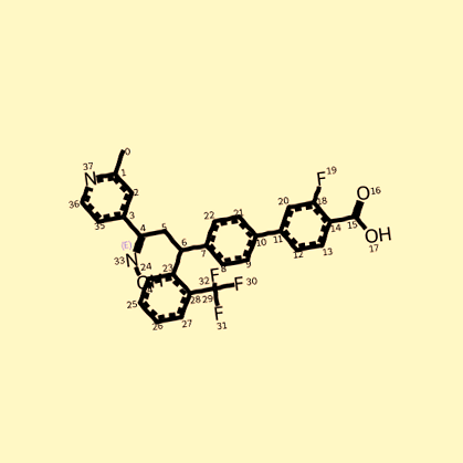 Cc1cc(/C(CC(c2ccc(-c3ccc(C(=O)O)c(F)c3)cc2)c2ccccc2C(F)(F)F)=N/O)ccn1